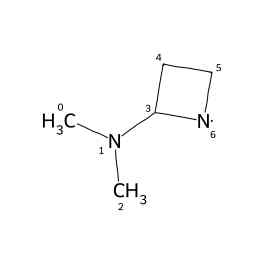 CN(C)C1CC[N]1